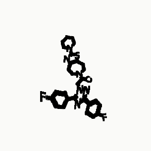 O=C(Cn1nc(-c2ccc(F)cc2)nc1-c1ccc(F)cc1)N1CCc2nc(N3CCCCC3)sc2CC1